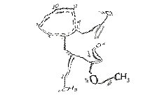 CC=C(C(=O)OC)c1ccccc1CCl